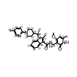 COc1cc(C)[nH]c(=O)c1CNC(=O)c1c(C)n([C@H](C)C2CCN(c3ccc(C)cn3)CC2)c2ccccc12